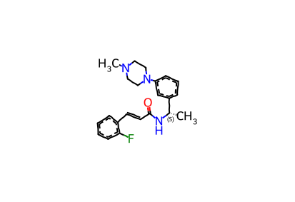 C[C@H](NC(=O)C=Cc1ccccc1F)c1cccc(N2CCN(C)CC2)c1